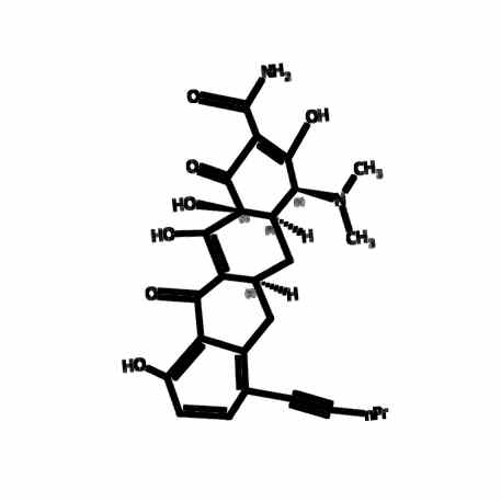 CCCC#Cc1ccc(O)c2c1C[C@@H]1C[C@@H]3[C@H](N(C)C)C(O)=C(C(N)=O)C(=O)[C@@]3(O)C(O)=C1C2=O